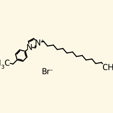 CCCCCCCCCCCCCC[n+]1ccn(-c2ccc(CC)cc2)c1.[Br-]